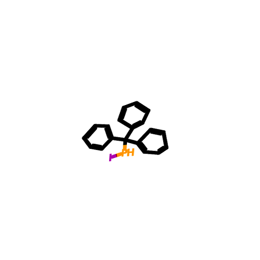 IPC(c1ccccc1)(c1ccccc1)c1ccccc1